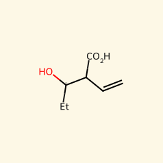 C=CC([C](O)CC)C(=O)O